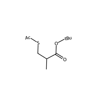 CC(=O)SCC(C)C(=O)OC(C)(C)C